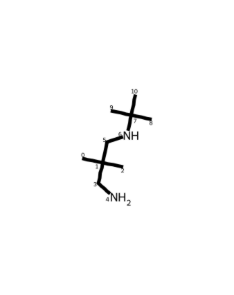 CC(C)(CN)CNC(C)(C)C